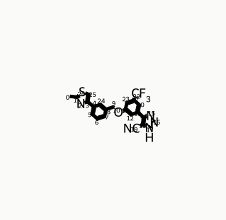 Cc1nc(-c2cccc(COc3cc(-c4nn[nH]c4C#N)cc(C(F)(F)F)c3)c2)cs1